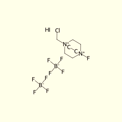 F[B-](F)(F)F.F[B-](F)(F)F.F[N+]12CC[N+](CCl)(CC1)CC2.I